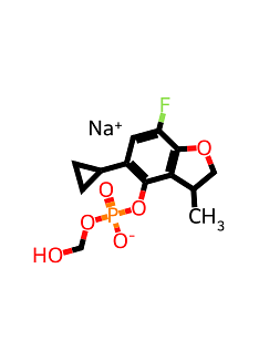 CC1COc2c(F)cc(C3CC3)c(OP(=O)([O-])OCO)c21.[Na+]